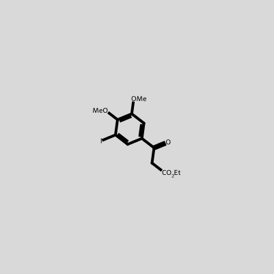 CCOC(=O)CC(=O)c1cc(I)c(OC)c(OC)c1